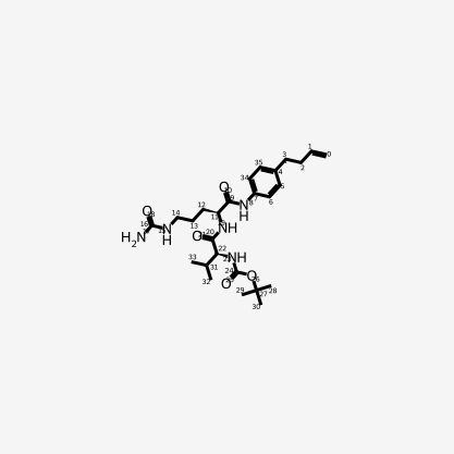 C=CC[CH]c1ccc(NC(=O)[C@H](CCCNC(N)=O)NC(=O)[C@@H](NC(=O)OC(C)(C)C)C(C)C)cc1